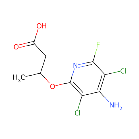 CC(CC(=O)O)Oc1nc(F)c(Cl)c(N)c1Cl